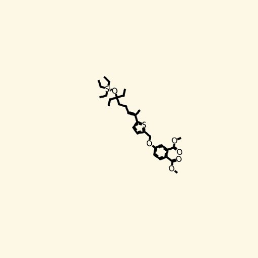 CCC(CC)(CCC=C(C)c1ccc(COc2ccc(C(=O)OC)c(C(=O)OC)c2)s1)O[Si](CC)(CC)CC